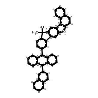 CC1(C)c2ccc(-c3c4ccccc4c(-c4ccc5ccccc5c4)c4ccccc34)cc2-c2cc3oc4ccc5ccccc5c4c3cc21